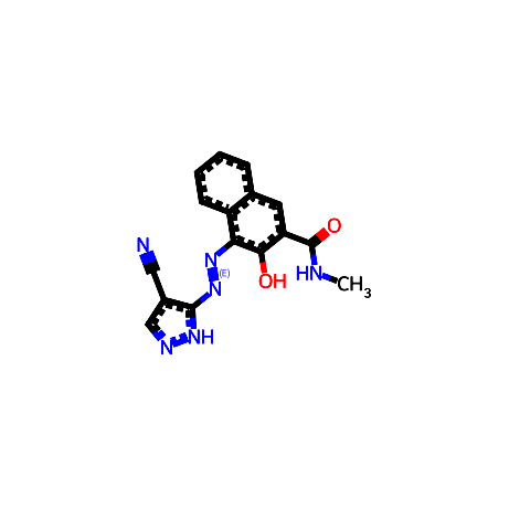 CNC(=O)c1cc2ccccc2c(/N=N/c2[nH]ncc2C#N)c1O